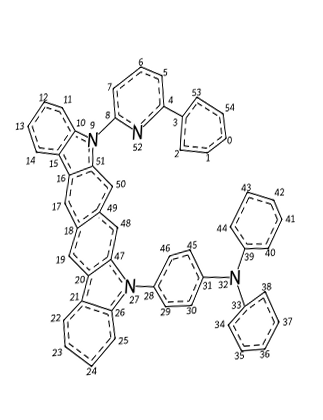 c1ccc(-c2cccc(-n3c4ccccc4c4cc5cc6c7ccccc7n(-c7ccc(N(c8ccccc8)c8ccccc8)cc7)c6cc5cc43)n2)cc1